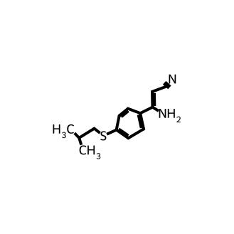 CC(C)CSc1ccc(/C(N)=C/C#N)cc1